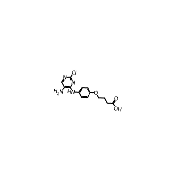 Nc1cnc(Cl)nc1Nc1ccc(OCCCC(=O)O)cc1